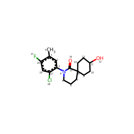 Cc1cc(N2CCCC3(CCC(O)CC3)C2=O)c(Cl)cc1F